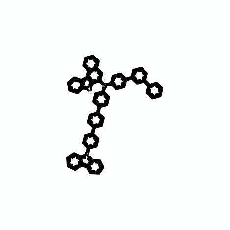 c1ccc(-c2cccc(-c3ccc(N(c4ccc(-c5ccc(-c6ccc(-n7c8ccccc8c8ccccc87)cc6)cc5)cc4)c4cc5ccccc5c5c4oc4ccccc45)cc3)c2)cc1